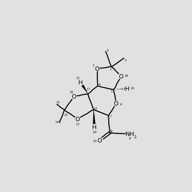 CC1(C)OC2[C@H](OC(C(N)=O)[C@@H]3OC(C)(C)O[C@H]23)O1